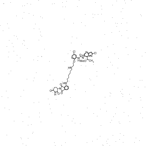 CO[C@@H](C)c1c(NC(=O)Nc2cc(Cl)cnc2OCCNCCCCCCCNc2cccc3c2C(=O)N(C2CCC(=O)NC2=O)C3=O)cnc2cc(Cl)nn12